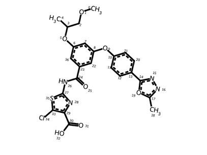 COCC(C)Oc1cc(Oc2ccc(-c3nnc(C)o3)cc2)cc(C(=O)Nc2nc(C(=O)O)c(Cl)s2)c1